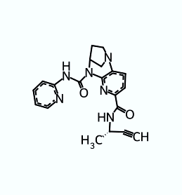 C#C[C@H](C)NC(=O)c1ccc2c(n1)N(C(=O)Nc1ccccn1)C1CCN2C1